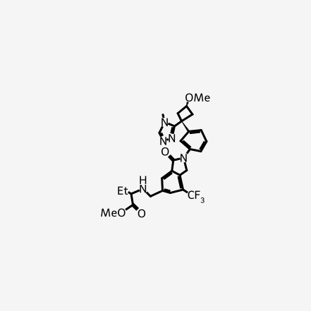 CCC(NCc1cc2c(c(C(F)(F)F)c1)CN(c1cccc([C@]3(c4nncn4C)C[C@H](OC)C3)c1)C2=O)C(=O)OC